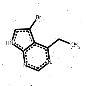 CCc1ncnc2[nH]cc(Br)c12